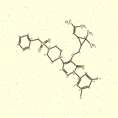 CC(C)=CC1C(COc2c(N3CCN(S(=O)(=O)Cc4ccccc4)CC3)cnn(-c3cc(F)cc(F)c3)c2=O)C1(C)C